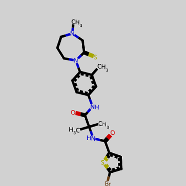 Cc1cc(NC(=O)C(C)(C)NC(=O)c2ccc(Br)s2)ccc1N1CCCN(C)CC1=S